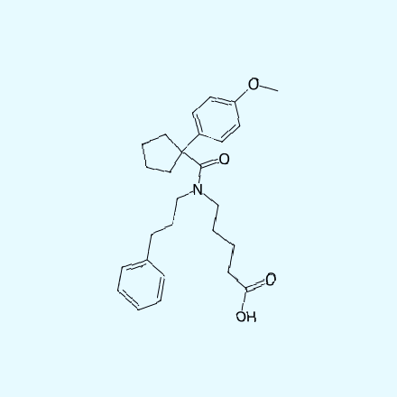 COc1ccc(C2(C(=O)N(CCCCC(=O)O)CCCc3ccccc3)CCCC2)cc1